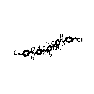 CC(C)(c1ccc(NC(=O)c2ccc(CCl)cc2)cc1)c1ccc(C(C)(C)c2ccc(NC(=O)c3ccc(CCl)cc3)cc2)cc1